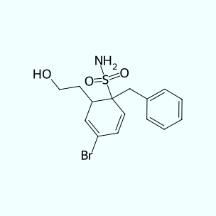 NS(=O)(=O)C1(Cc2ccccc2)C=CC(Br)=CC1CCO